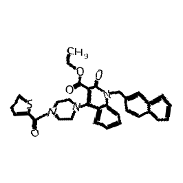 CCOC(=O)c1c(N2CCN(C(=O)C3=CCCS3)CC2)c2ccccc2n(Cc2ccc3ccccc3c2)c1=O